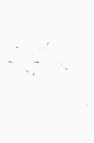 C=CC1O[C@H]2C[C@H]3OC[C@@]3(OC(C)=O)[C@H]3[C@H](OC(=O)c4ccccc4)C4(O)C[C@H](OC(=O)[C@H](O)[C@H](CC(C)C)NC(=O)OC(C)(C)C)C(C)=C([C@H](OC(C)=O)[C@H](O1)[C@]23C)C4(C)C